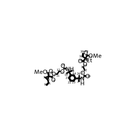 C=CC1CC1(C(=O)OC)C(=O)OCCOC(=O)NC(C)(C)c1cccc(C(C)(C)NC(=O)OCCOC(=O)C(C=C)(CC)C(=O)OC)c1